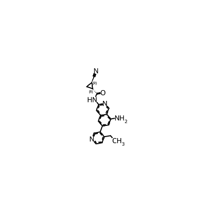 CCc1ccncc1-c1cc(N)c2cnc(NC(=O)[C@@H]3C[C@H]3C#N)cc2c1